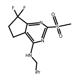 CC(C)CNc1nc(S(C)(=O)=O)nc2c1CCC2(F)F